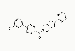 O=C(c1ccc(-c2cccc(Cl)c2)nc1)N1CC2CN(c3ncccn3)CC2C1